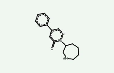 O=c1cc(-c2ccccc2)cnn1C1CCCCNC1